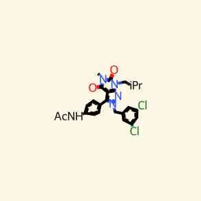 CC(=O)Nc1ccc(-c2c3c(=O)n(C)c(=O)n(CC(C)C)c3nn2Cc2cc(Cl)cc(Cl)c2)cc1